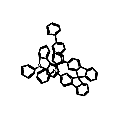 c1ccc(-c2ccc(N(c3ccc4c(c3)C3(c5ccccc5-c5ccc(N(c6ccccc6)c6ccccc6)cc53)c3ccccc3-4)c3cccc4c3c3ccccc3n4-c3ccccc3)cc2)cc1